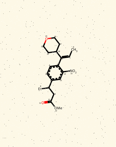 CC=C(c1ccc(C(CC)CC(=O)OC)cc1[N+](=O)[O-])C1CCOCC1